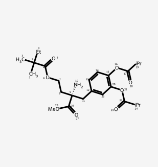 CCC(C)(C)C(=O)OCC[C@@](N)(Cc1ccc(OC(=O)C(C)C)c(OC(=O)C(C)C)c1)C(=O)OC